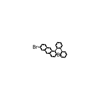 Brc1ccc2cc3c(-c4ccccc4-c4ccccc4)c(Br)ccc3cc2c1